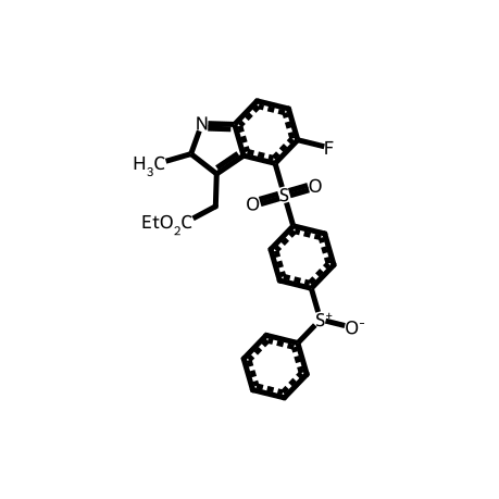 CCOC(=O)CC1=c2c(S(=O)(=O)c3ccc([S+]([O-])c4ccccc4)cc3)c(F)ccc2=NC1C